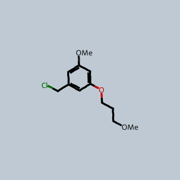 COCCCOc1cc(CCl)cc(OC)c1